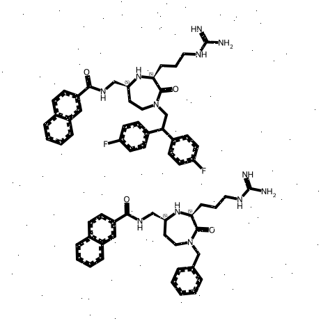 N=C(N)NCCC[C@@H]1N[C@H](CNC(=O)c2ccc3ccccc3c2)CCN(CC(c2ccc(F)cc2)c2ccc(F)cc2)C1=O.N=C(N)NCCC[C@@H]1N[C@H](CNC(=O)c2ccc3ccccc3c2)CCN(Cc2ccccc2)C1=O